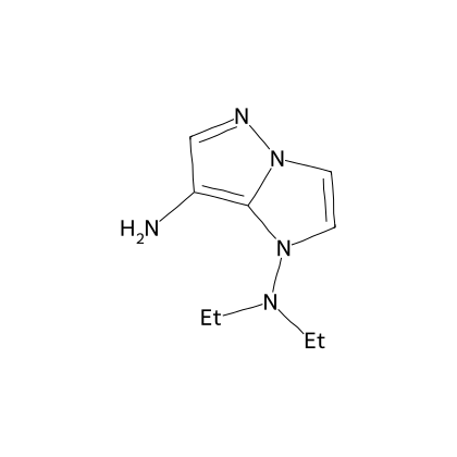 CCN(CC)n1ccn2ncc(N)c12